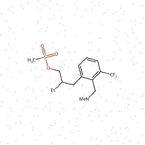 CCC(COS(C)(=O)=O)Cc1cccc(C(F)(F)F)c1CNC